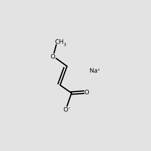 CO/C=C/C(=O)[O-].[Na+]